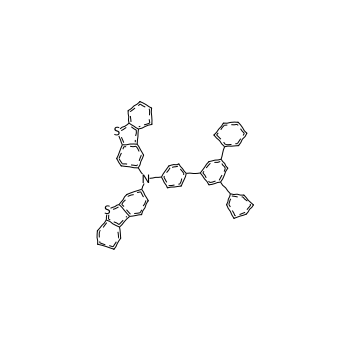 c1ccc(-c2cc(-c3ccccc3)cc(-c3ccc(N(c4ccc5c(c4)sc4ccccc45)c4ccc5sc6ccccc6c5c4)cc3)c2)cc1